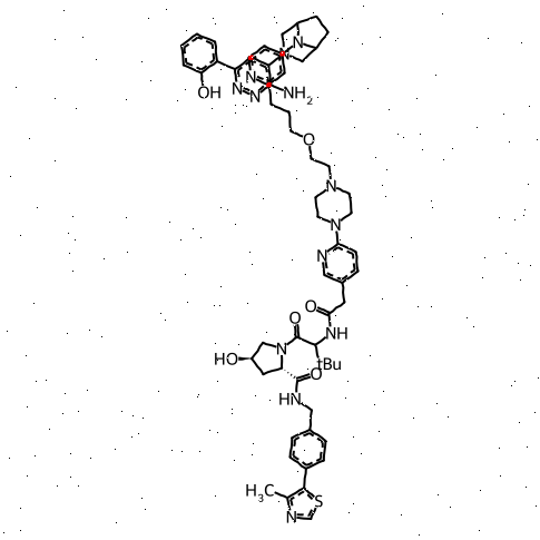 Cc1ncsc1-c1ccc(CNC(=O)[C@@H]2C[C@@H](O)CN2C(=O)C(NC(=O)Cc2ccc(N3CCN(CCOCCCc4cc(N5C6CCC5CN(c5cc(-c7ccccc7O)nnc5N)C6)ccn4)CC3)nc2)C(C)(C)C)cc1